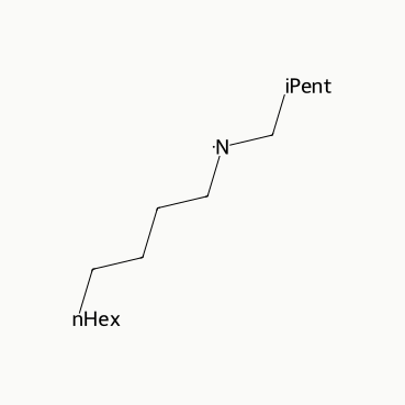 CCCCCCCCCC[N]CC(C)CCC